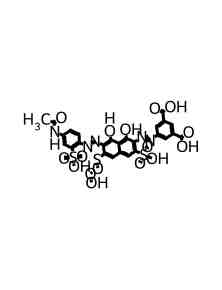 CC(=O)Nc1ccc(/N=N/c2c(SOOO)cc3cc(S(=O)(=O)O)c(/N=N/c4cc(C(=O)O)cc(C(=O)O)c4)c(O)c3c2O)c(S(=O)(=O)O)c1